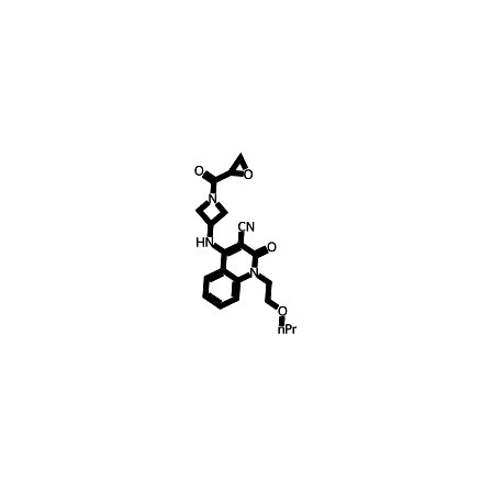 CCCOCCn1c(=O)c(C#N)c(NC2CN(C(=O)C3CO3)C2)c2ccccc21